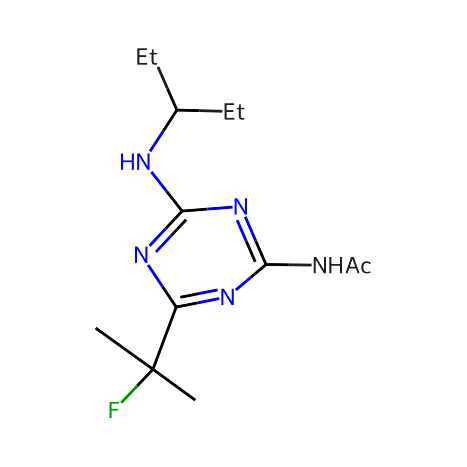 CCC(CC)Nc1nc(NC(C)=O)nc(C(C)(C)F)n1